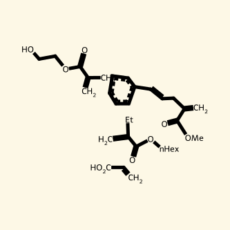 C=C(C)C(=O)OCCO.C=C(CC)C(=O)OCCCCCC.C=C(CC=Cc1ccccc1)C(=O)OC.C=CC(=O)O